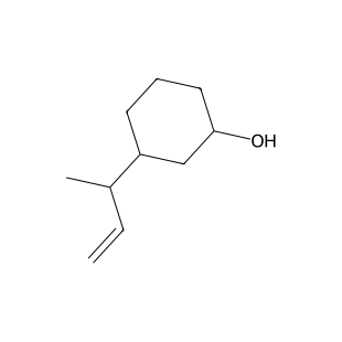 C=CC(C)C1CCCC(O)C1